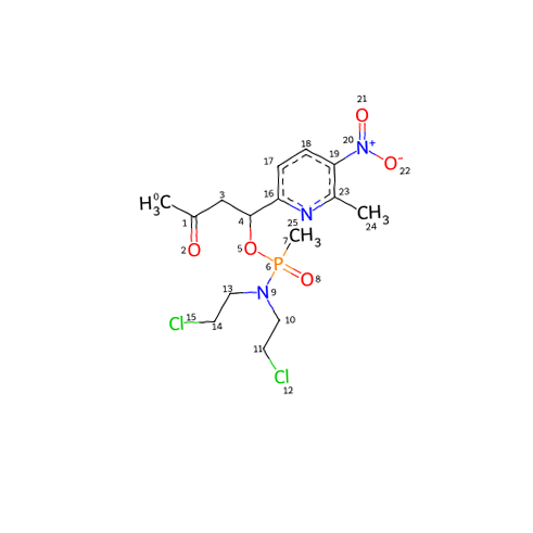 CC(=O)CC(OP(C)(=O)N(CCCl)CCCl)c1ccc([N+](=O)[O-])c(C)n1